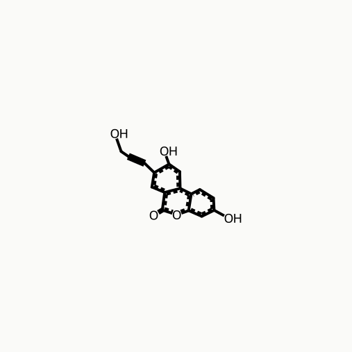 O=c1oc2cc(O)ccc2c2cc(O)c(C#CCO)cc12